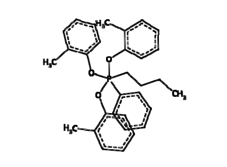 CCCCP(Oc1ccccc1C)(Oc1ccccc1C)(Oc1ccccc1C)c1ccccc1